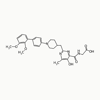 COc1cccc(-c2ccc(N3CCC(Cc4nc(C)c(O)c(C(=O)NCC(=O)O)n4)CC3)cc2)c1OC